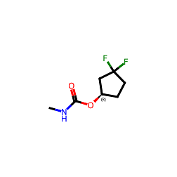 CNC(=O)O[C@@H]1CCC(F)(F)C1